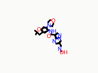 CC1(C)Cc2cc(NC(=O)c3cnn4cc(C=NO)cnc34)c(N3CCOCC3)cc2O1